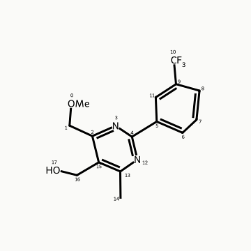 COCc1nc(-c2cccc(C(F)(F)F)c2)nc(C)c1CO